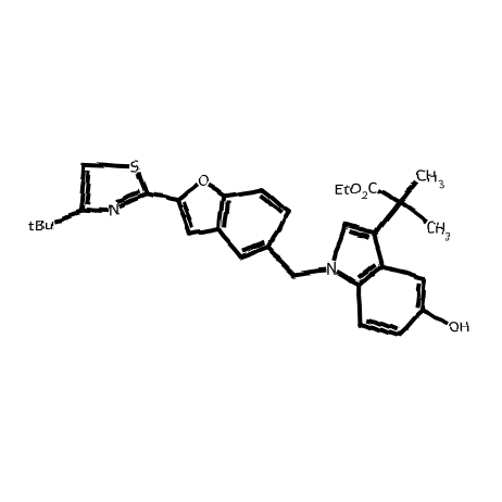 CCOC(=O)C(C)(C)c1cn(Cc2ccc3oc(-c4nc(C(C)(C)C)cs4)cc3c2)c2ccc(O)cc12